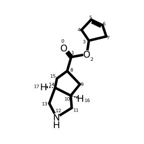 O=C(OC1CC=CC1)C1C[C@H]2CNC[C@H]2C1